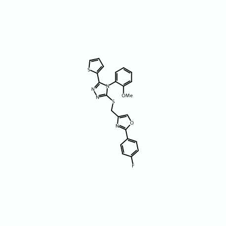 COc1ccccc1-n1c(SCc2coc(-c3ccc(F)cc3)n2)nnc1-c1cccs1